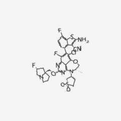 C[C@H]1COc2c(Cl)c(-c3ccc(F)c4sc(N)c(C#N)c34)c(F)c3nc(OC[C@@]45CCCN4C[C@H](F)C5)nc(c23)N1C1CCS(=O)(=O)C1